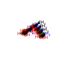 CCCCNc1ccc2c(O)cc(S(=O)(=O)O)cc2c1.CCNc1ccc2c(O)cc(S(=O)(=O)O)cc2c1.CNc1ccc2c(O)cc(S(=O)(=O)O)cc2c1.Nc1ccc2c(O)cc(S(=O)(=O)O)cc2c1.Nc1ccc2c(O)cc(S(=O)(=O)O)cc2c1Cl.Nc1ccc2c(O)cc(S(=O)(=O)O)cc2c1S(=O)(=O)O